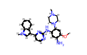 COc1cc(N2CCN(C)CC2)c(Nc2nccc(-c3cn(C)c4ccccc34)n2)cc1N